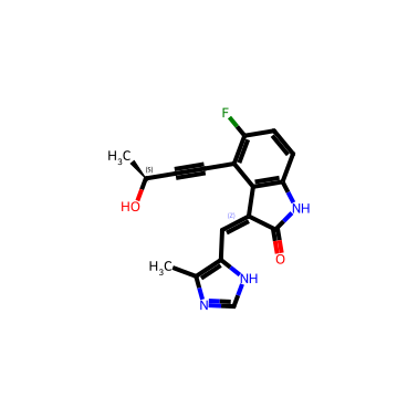 Cc1nc[nH]c1/C=C1\C(=O)Nc2ccc(F)c(C#C[C@H](C)O)c21